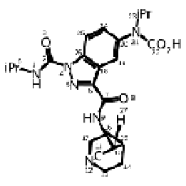 CC(C)NC(=O)n1nc(C(=O)N[C@H]2CN3CCC2CC3)c2cc(N(C(=O)O)C(C)C)ccc21